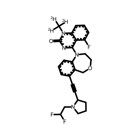 [2H]C([2H])([2H])n1c(=O)nc(N2CCOCc3c(C#CC4CCCN4CC(F)F)cccc32)c2c(F)cccc21